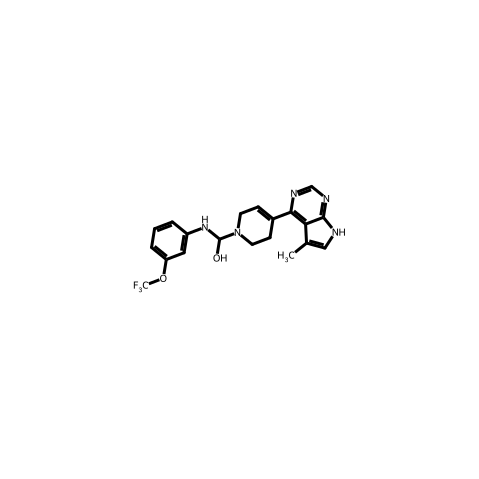 Cc1c[nH]c2ncnc(C3=CCN(C(O)Nc4cccc(OC(F)(F)F)c4)CC3)c12